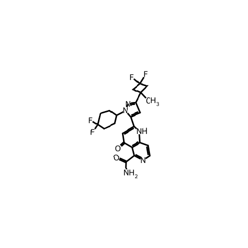 CC1(c2cc(-c3cc(=O)c4c(C(N)=O)nccc4[nH]3)n(C3CCC(F)(F)CC3)n2)CC(F)(F)C1